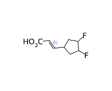 O=C(O)/C=C/C1CC(F)C(F)C1